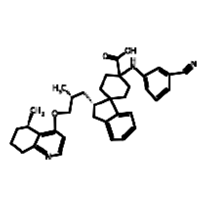 C[C@@H](COc1ccnc2c1[C@H](C)CCC2)C[C@H]1Cc2ccccc2C12CCC(Nc1cccc(C#N)c1)(C(=O)O)CC2